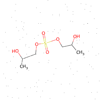 CC(O)COS(=O)(=O)OCC(C)O